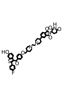 O=C1CCC(N2C(=O)c3ccc(C4CCN(CCN5CCC(COc6ccc(C(=O)c7c(-c8ccc(F)cc8)sc8cc(O)ccc78)cc6)CC5)CC4)cc3C2=O)C(=O)N1